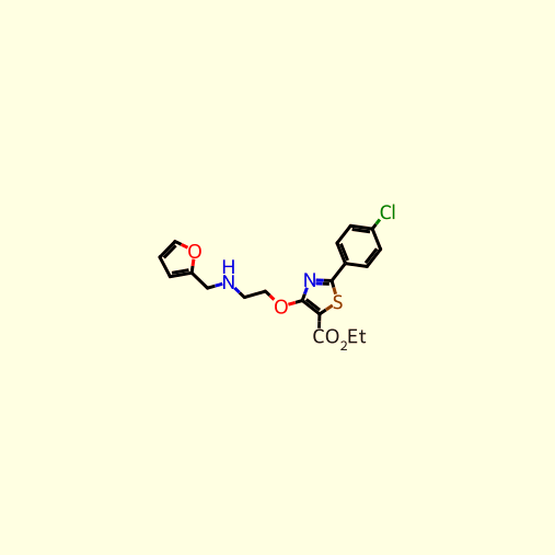 CCOC(=O)c1sc(-c2ccc(Cl)cc2)nc1OCCNCc1ccco1